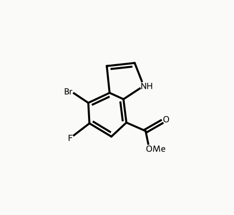 COC(=O)c1cc(F)c(Br)c2cc[nH]c12